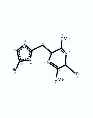 COC1=NC(C(C)C)C(OC)=NC1Cc1nc(Br)cs1